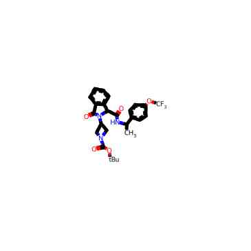 CC(NC(=O)C1c2ccccc2C(=O)N1C1CN(C(=O)OC(C)(C)C)C1)c1ccc(OC(F)(F)F)cc1